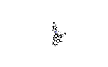 CC(C)=CCc1c(OC2CCCCCC2)cc(/C=C/c2ccc(F)cc2)c(C(=O)O)c1O